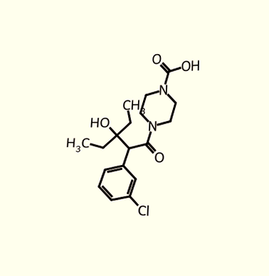 CCC(O)(CC)C(C(=O)N1CCN(C(=O)O)CC1)c1cccc(Cl)c1